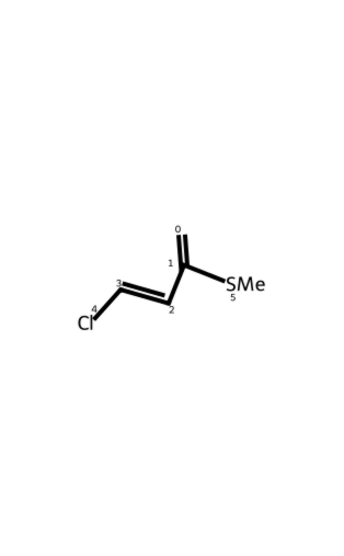 C=C(/C=C/Cl)SC